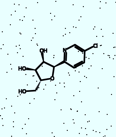 OC[C@H]1O[C@H](c2ccc(Cl)cn2)[C@H](O)[C@@H]1O